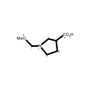 COCN1CCC(C(=O)O)C1